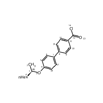 CCCCCC[C@@H](C)Oc1ccc(-c2ccc(C(=O)Cl)cc2)cc1